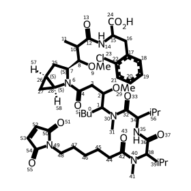 CCC(C)C(C(CC(=O)N1[C@H](C(OC)C(C)C(=O)NC(Cc2ccccc2Cl)C(=O)O)C[C@@H]2C[C@@H]21)OC)N(C)C(=O)C(NC(=O)C(C(C)C)N(C)C(=O)CCCCCN1C(=O)C=CC1=O)C(C)C